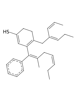 C/C=C\C(=C/CC)CC1=C(/C(=C(/C)C/C=C\CC)c2ccccc2)C=C(S)CC1